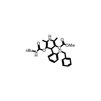 CCCCNC(=O)OC1=C(C)NC(C)=C(OC(=O)OC)C1c1ccccc1OCc1ccccc1